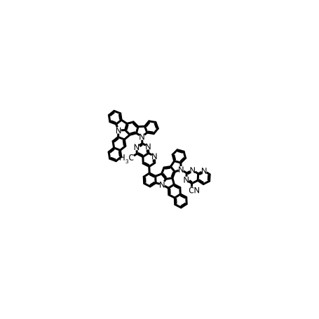 Cc1nc(-n2c3ccccc3c3cc4c5ccccc5n5c6cc7ccccc7cc6c(c32)c45)nc2ncc(-c3cccc4c3c3cc5c6ccccc6n(-c6nc(C#N)c7cccnc7n6)c5c5c6cc7ccccc7cc6n4c35)cc12